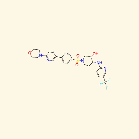 O=S(=O)(c1ccc(-c2ccc(N3CCOCC3)nc2)cc1)N1CC[C@@H](Nc2ccc(C(F)(F)F)cn2)[C@@H](O)C1